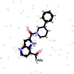 COC(=O)c1ccnc2cc(C(=O)N3CCCC(c4ccccc4)C3)[nH]c12